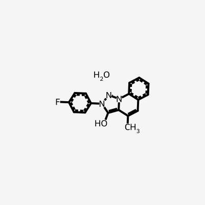 CC1=Cc2ccccc2N2[N]N(c3ccc(F)cc3)C(O)=C12.O